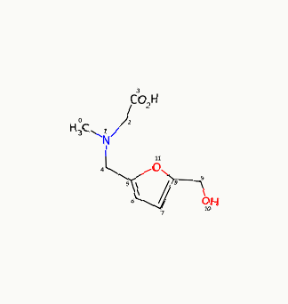 CN(CC(=O)O)Cc1ccc(CO)o1